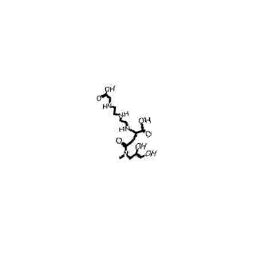 CN(CC(O)CO)C(=O)CC(NCCNCCNCC(=O)O)C(=O)O